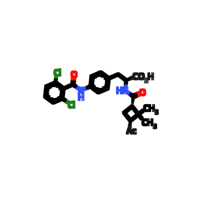 CC(=O)[C@H]1C[C@H](C(=O)N[C@@H](Cc2ccc(NC(=O)c3c(Cl)cccc3Cl)cc2)C(=O)O)C1(C)C